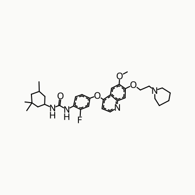 COc1cc2c(Oc3ccc(NC(=O)NC4CC(C)CC(C)(C)C4)c(F)c3)ccnc2cc1OCCN1CCCCC1